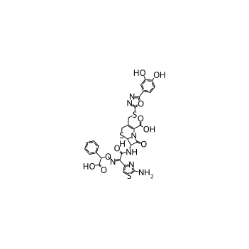 Nc1nc(/C(=N/OC(C(=O)O)c2ccccc2)C(=O)N[C@@H]2C(=O)N3C(C(=O)O)=C(CSc4nnc(-c5ccc(O)c(O)c5)o4)CS[C@H]23)cs1